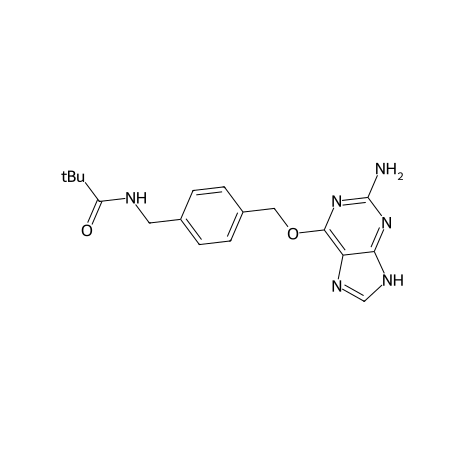 CC(C)(C)C(=O)NCc1ccc(COc2nc(N)nc3[nH]cnc23)cc1